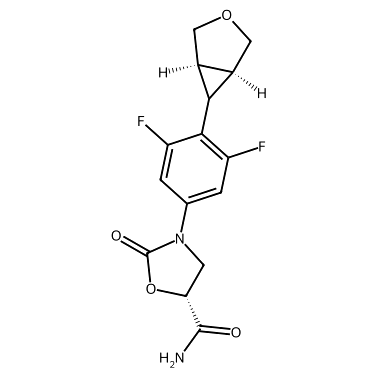 NC(=O)[C@H]1CN(c2cc(F)c(C3[C@H]4COC[C@@H]34)c(F)c2)C(=O)O1